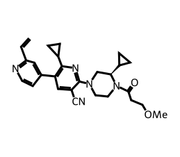 C=Cc1cc(-c2cc(C#N)c(N3CCN(C(=O)CCOC)[C@H](C4CC4)C3)nc2C2CC2)ccn1